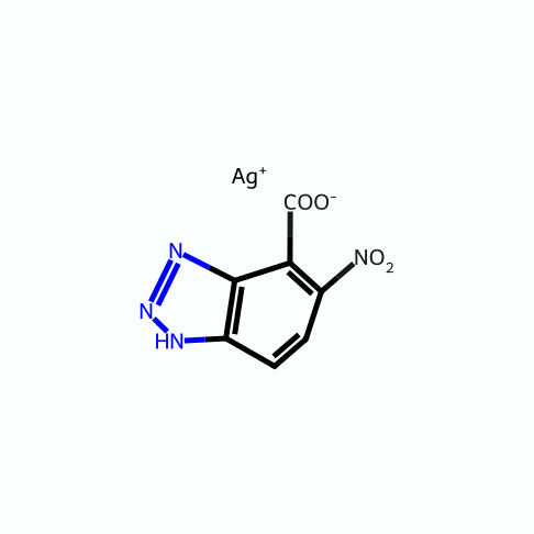 O=C([O-])c1c([N+](=O)[O-])ccc2[nH]nnc12.[Ag+]